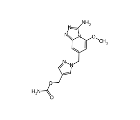 COc1cc(Cn2cc(COC(N)=O)cn2)cc2nnc(N)n12